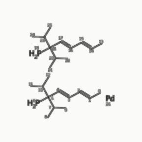 CC=CC=CC(P)(C(C)C)C(C)C.CC=CC=CC(P)(C(C)C)C(C)C.[Pd]